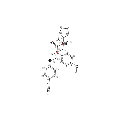 COc1ccc(N(C)C(=O)NC2C3CCC2CN(CCCNc2ccc(C#N)cc2)C3)cc1